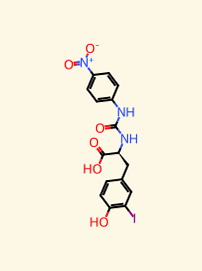 O=C(Nc1ccc([N+](=O)[O-])cc1)N[C@@H](Cc1ccc(O)c(I)c1)C(=O)O